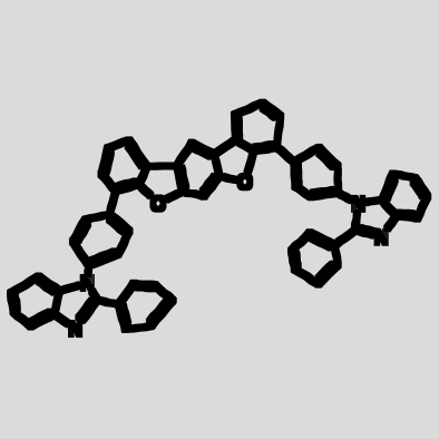 c1ccc(-c2nc3ccccc3n2-c2ccc(-c3cccc4c3oc3cc5oc6c(-c7ccc(-n8c(-c9ccccc9)nc9ccccc98)cc7)cccc6c5cc34)cc2)cc1